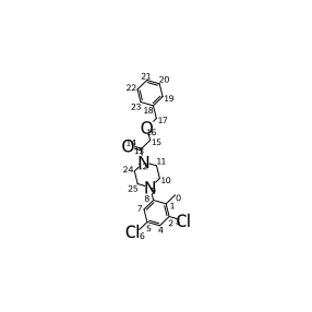 Cc1c(Cl)cc(Cl)cc1N1CCN(C(=O)COCc2ccccc2)CC1